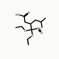 CCOC(OCC)([PH2]=O)C(CC(=O)O)CC(C)C